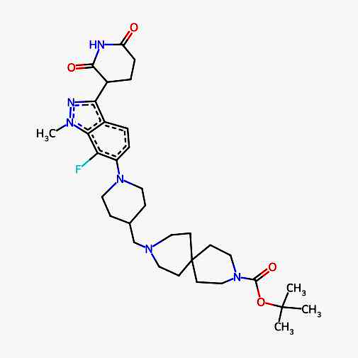 Cn1nc(C2CCC(=O)NC2=O)c2ccc(N3CCC(CN4CCC5(CC4)CCN(C(=O)OC(C)(C)C)CC5)CC3)c(F)c21